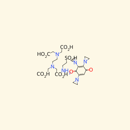 NCCS(=O)(=O)O.O=C(O)CN(CCN(CC(=O)O)CC(=O)O)CC(=O)O.O=C1C=C(N2CC2)C(=O)C(N2CC2)=C1N1CC1